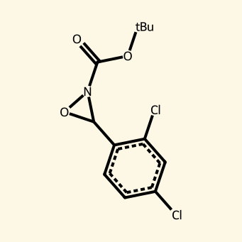 CC(C)(C)OC(=O)N1OC1c1ccc(Cl)cc1Cl